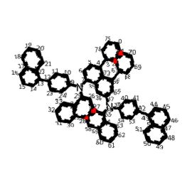 c1ccc(-c2ccc(N(c3ccc(-c4cccc5ccccc45)cc3)c3cccc4ccccc34)c3cc(N(c4ccc(-c5cccc6ccccc56)cc4)c4cccc5ccccc45)cc(-c4ccccc4)c23)cc1